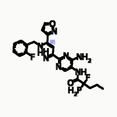 CCCC(F)(P)C(=O)Nc1cnc(C(=N)/C=C(\NCc2ccccc2F)c2ccon2)nc1N